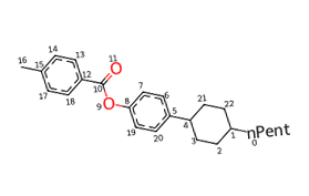 CCCCCC1CCC(c2ccc(OC(=O)c3ccc(C)cc3)cc2)CC1